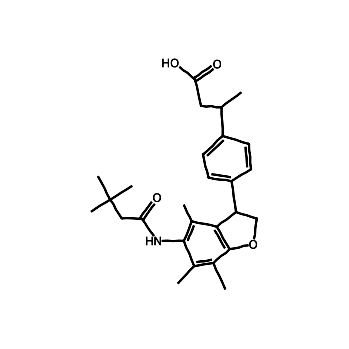 Cc1c(C)c2c(c(C)c1NC(=O)CC(C)(C)C)C(c1ccc(C(C)CC(=O)O)cc1)CO2